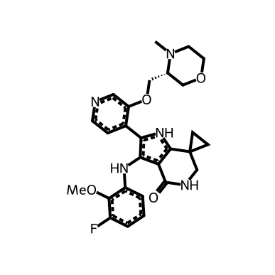 COc1c(F)cccc1Nc1c(-c2ccncc2OC[C@H]2COCCN2C)[nH]c2c1C(=O)NCC21CC1